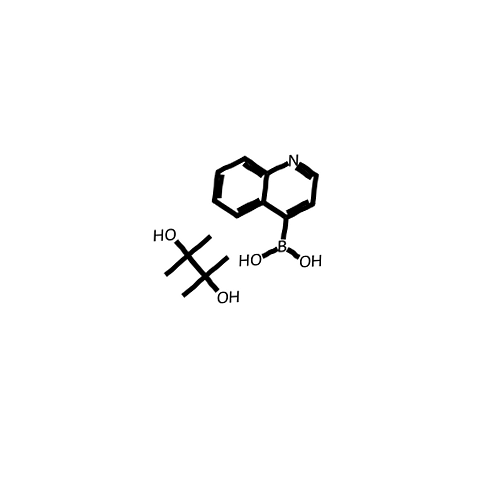 CC(C)(O)C(C)(C)O.OB(O)c1ccnc2ccccc12